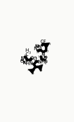 Cc1nonc1C(=O)N[C@H](C(=O)Nc1cn(C(CC2CC2)c2cnnn2CC(F)(F)F)nc1F)C(C1CC1)C1CC1